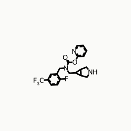 O=C(Oc1ccccn1)N(Cc1cc(C(F)(F)F)ccc1F)CC1C2CNCC21